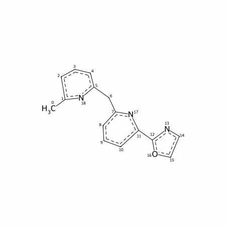 Cc1cccc(Cc2cccc(-c3ncco3)n2)n1